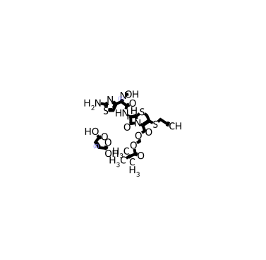 C#CCSC1=C(C(=O)OCOC(=O)C(C)(C)C)N2C(=O)[C@@H](NC(=O)/C(=N\O)c3csc(N)n3)[C@@H]2SC1.O=C(O)/C=C\C(=O)O